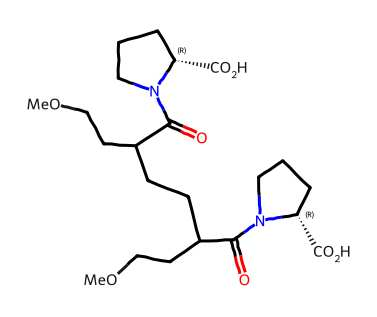 COCCC(CCC(CCOC)C(=O)N1CCC[C@@H]1C(=O)O)C(=O)N1CCC[C@@H]1C(=O)O